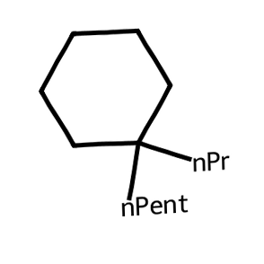 [CH2]CCC1(CCCCC)CCCCC1